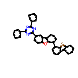 c1ccc(-c2nc(-c3ccccc3)nc(-c3ccc4oc5c(-c6cccc7c6sc6ccccc67)cccc5c4c3)n2)cc1